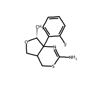 C[C@H]1OCC2CSC(N)=NC21c1ccccc1F